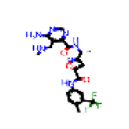 CNCc1c(N)ncnc1C(=O)N[C@H](C)c1cc(C(=O)Nc2ccc(C)c(C(F)(F)F)c2)on1